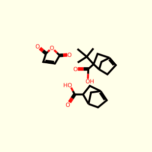 CC(C)(C)C1(C(=O)O)CC2=CCC1C2.O=C(O)C1CC2=CCC1C2.O=C1C=CC(=O)O1